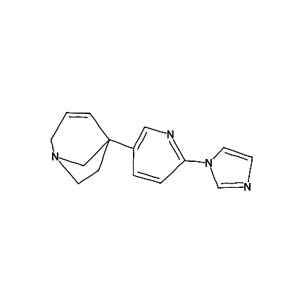 C1=CC2(c3ccc(-n4ccnc4)nc3)CCN(C1)C2